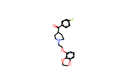 O=C(c1ccc(F)cc1)C1CCN(CCOc2cccc3c2OCCO3)CC1